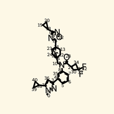 Cn1nc(-c2cccc(N(CC34CCC(c5nc(C6CC6)no5)(CC3)CC4)C(=O)C3CC(F)(F)C3)c2)cc1C1CC1